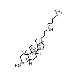 C[C@]12CC[C@H](O)C[C@H]1CC[C@@H]1[C@@H]2CC[C@]2(C)[C@@H](CCCNOCCCN)CC[C@]12O